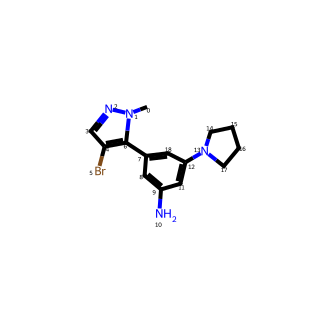 Cn1ncc(Br)c1-c1cc(N)cc(N2CCCC2)c1